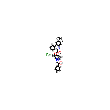 Cc1ccc(NCC(=O)O[C@H]2C[N+]3(CC(=O)c4ccccc4)CCC2CC3)c(-c2ccccc2)c1.[Br-]